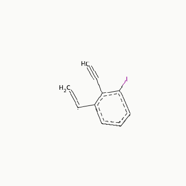 C#Cc1c(I)cccc1[C]=C